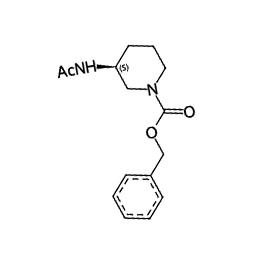 CC(=O)N[C@H]1CCCN(C(=O)OCc2ccccc2)C1